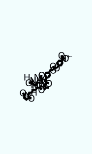 CC(C)[C@H](NC(=O)CCCCCN1C(=O)C=CC1=O)C(=O)N(c1ccc(COC(=O)Oc2ccc([N+](=O)[O-])cc2)cc1)[C@@H](CCCNC(N)=O)C(N)=O